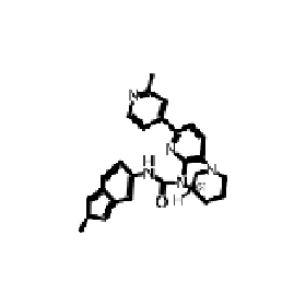 Cc1cc(-c2ccc3c(n2)N(C(=O)Nc2ccc4c(c2)=CC(C)C=4)[C@H]2CCCN3C2)ccn1